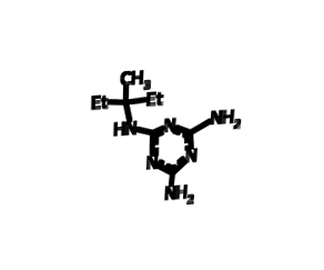 CCC(C)(CC)Nc1nc(N)nc(N)n1